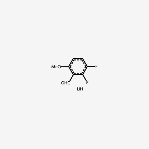 COc1ccc(F)c(F)c1C=O.[LiH]